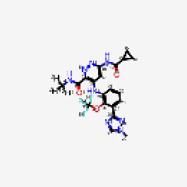 [2H]C([2H])([2H])NC(=O)c1nnc(NC(=O)C2CC2)cc1Nc1cccc(-c2ncn(C)n2)c1OC(F)(F)F